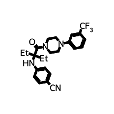 CCC(CC)(Nc1ccc(C#N)cc1)C(=O)N1CCN(c2cccc(C(F)(F)F)c2)CC1